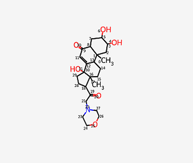 CC12CC(O)C(O)CC1C(=O)C=C1C2CCC2(C)C(C(=O)CN3CCOCC3)CCC12O